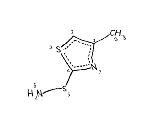 Cc1csc(SN)n1